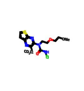 CCOC(=O)c1nc2ccsc2nc1N(CCOCCOC)C(=O)NCl